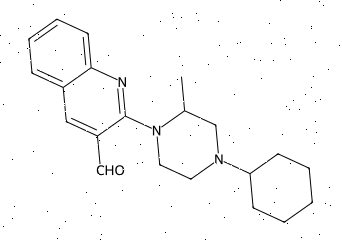 CC1CN(C2CCCCC2)CCN1c1nc2ccccc2cc1C=O